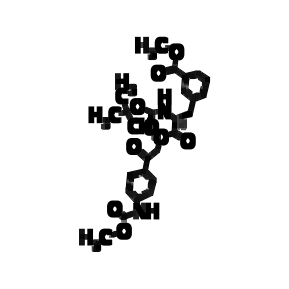 COC(=O)Nc1ccc(C(=O)COC(=O)[C@H](Cc2cccc(C(=O)OC)c2)NC(=O)OC(C)(C)C)cc1